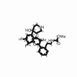 COC(=O)NCCc1ccccc1-c1onc([C@H]2CNCC[C@]2(O)c2ccc(F)c(F)c2)c1C(C)=O